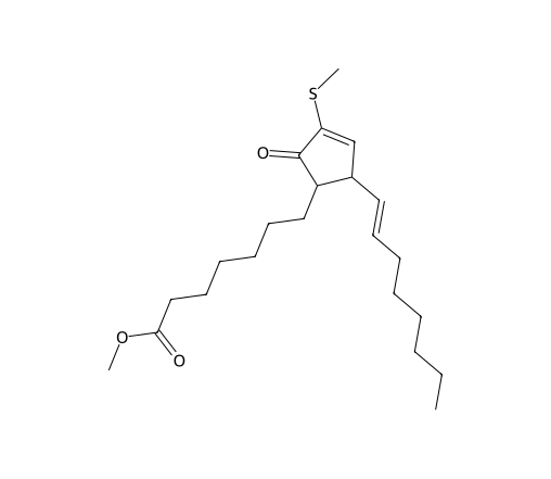 CCCCCCC=CC1C=C(SC)C(=O)C1CCCCCCC(=O)OC